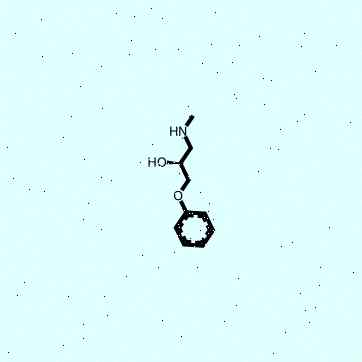 CNC[C@H](O)COc1ccccc1